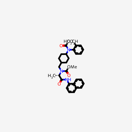 COC(=O)N(CC1CCC(N(C(=O)C(=O)O)c2ccccc2C(=O)O)CC1)[C@@H](C)C(=O)Nc1cccc2ccccc12